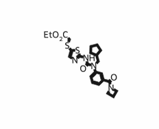 CCOC(=O)CSc1cnc(NC(=O)N(CC2CCCC2)c2cccc(C(=O)N3CCC3)c2)s1